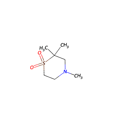 CN1CCS(=O)(=O)C(C)(C)C1